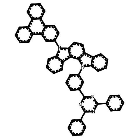 c1ccc(-c2nc(-c3ccccc3)nc(-c3cccc(-n4c5ccccc5c5ccc6c(c7ccccc7n6-c6ccc7c8ccccc8c8ccccc8c7c6)c54)c3)n2)cc1